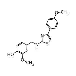 COc1ccc(-c2csc(NCc3ccc(O)c(OC)c3)n2)cc1